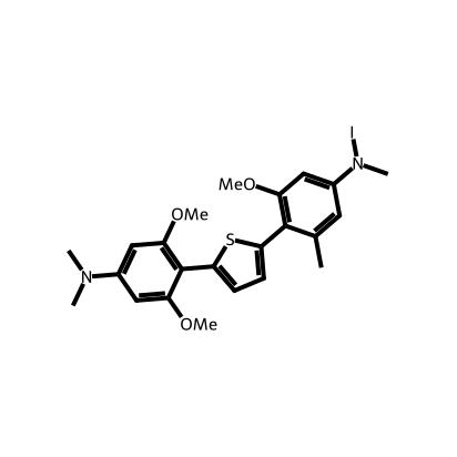 COc1cc(N(C)I)cc(C)c1-c1ccc(-c2c(OC)cc(N(C)C)cc2OC)s1